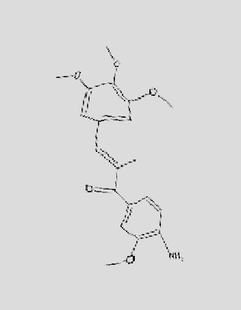 COc1cc(C(=O)/C(C)=C/c2cc(OC)c(OC)c(OC)c2)ccc1N